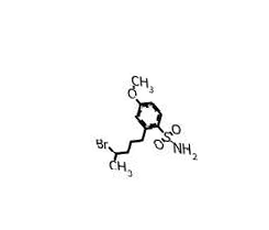 COc1ccc(S(N)(=O)=O)c(CCCC(C)Br)c1